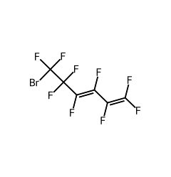 FC(F)=C(F)C(F)=C(F)C(F)(F)C(F)(F)Br